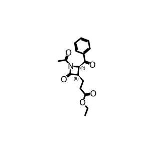 CCOC(=O)CC[C@H]1C(=O)N(C(C)=O)[C@H]1C(=O)c1ccccc1